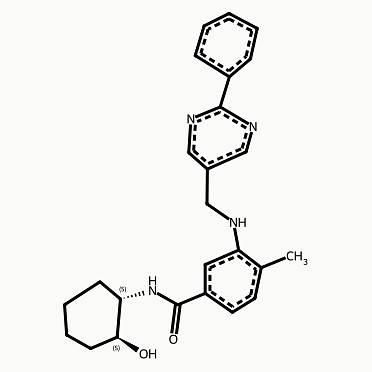 Cc1ccc(C(=O)N[C@H]2CCCC[C@@H]2O)cc1NCc1cnc(-c2ccccc2)nc1